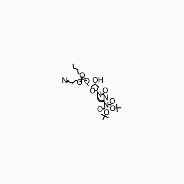 CCCCOP(OCCC#N)OC[C@H]1O[C@@H](n2ccc(N(C(=O)OC(C)(C)C)C(=O)OC(C)(C)C)nc2=O)C[C@@H]1O